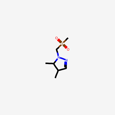 CC1C=NN(CS(C)(=O)=O)C1C